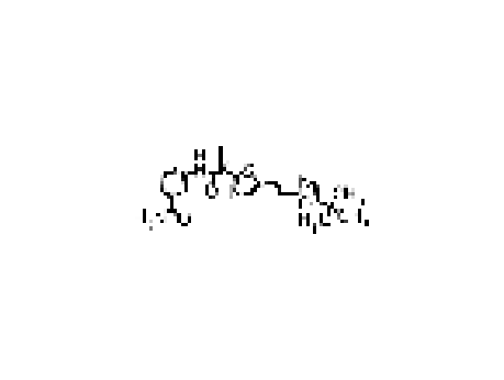 CC(C)(C)c1cnc(C=Cc2cnc(NC(=O)Nc3cccc(C(N)=O)c3)s2)o1